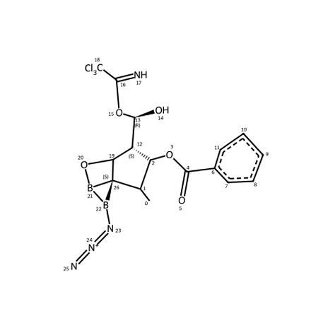 CC1C(OC(=O)c2ccccc2)[C@@H]([C@H](O)OC(=N)C(Cl)(Cl)Cl)C2OB3B(N=[N+]=[N-])[C@]312